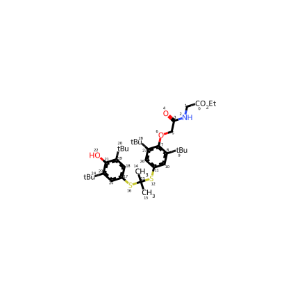 CCOC(=O)CNC(=O)COc1c(C(C)(C)C)cc(SC(C)(C)Sc2cc(C(C)(C)C)c(O)c(C(C)(C)C)c2)cc1C(C)(C)C